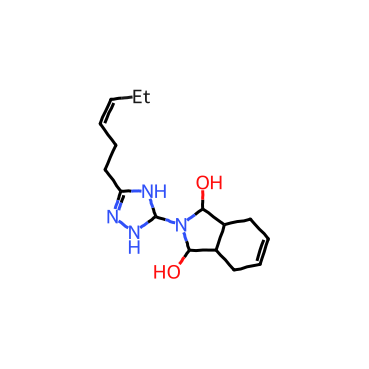 CC/C=C\CCC1=NNC(N2C(O)C3CC=CCC3C2O)N1